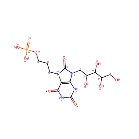 O=c1[nH]c(=O)c2c([nH]1)n(CC(O)C(O)C(O)CO)c(=O)n2CCCOP(=O)(O)O